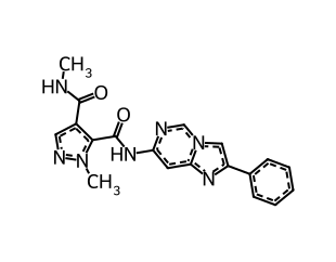 CNC(=O)c1cnn(C)c1C(=O)Nc1cc2nc(-c3ccccc3)cn2cn1